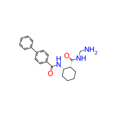 NCNC(=O)[C@@H]1CCCC[C@@H]1NC(=O)c1ccc(-c2ccccc2)cc1